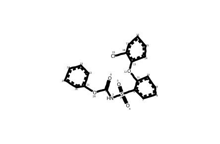 O=C(NS(=O)(=O)c1ccccc1Oc1ccccc1Cl)Oc1ccccc1